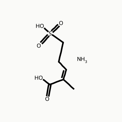 CC(=CCCS(=O)(=O)O)C(=O)O.N